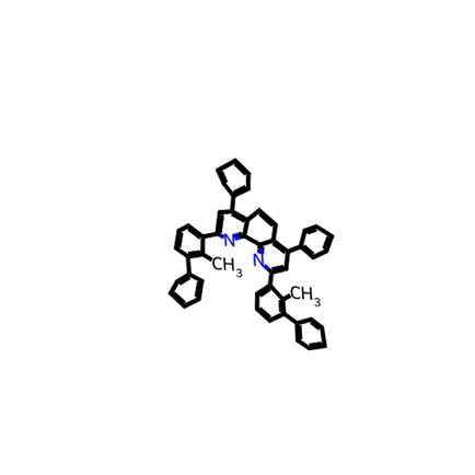 Cc1c(-c2ccccc2)cccc1-c1cc(-c2ccccc2)c2ccc3c(-c4ccccc4)cc(-c4cccc(-c5ccccc5)c4C)nc3c2n1